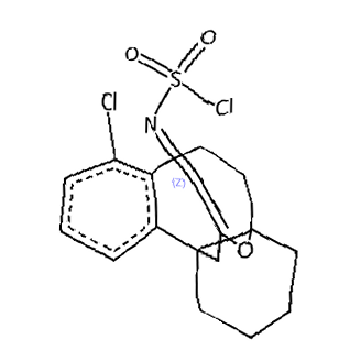 O=S(=O)(Cl)/N=C1/CC23CCCCC2(CCc2c(Cl)cccc23)O1